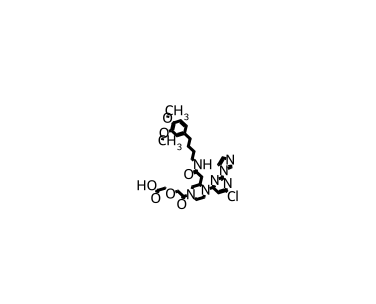 COc1ccc(CCCCNC(=O)CC2CN(C(=O)COCC(=O)O)CCN2c2cc(Cl)nc(-n3ccnc3)n2)cc1OC